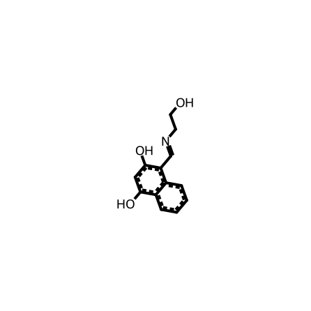 OCCN=Cc1c(O)cc(O)c2ccccc12